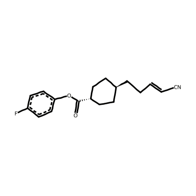 N#CC=CCC[C@H]1CC[C@H](C(=O)Oc2ccc(F)cc2)CC1